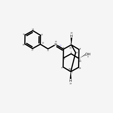 O[C@]12CC3C[C@H](C[C@@H](C1)/C3=N/Cc1ccccc1)C2